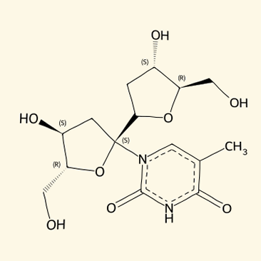 Cc1cn([C@@]2(C3C[C@H](O)[C@@H](CO)O3)C[C@H](O)[C@@H](CO)O2)c(=O)[nH]c1=O